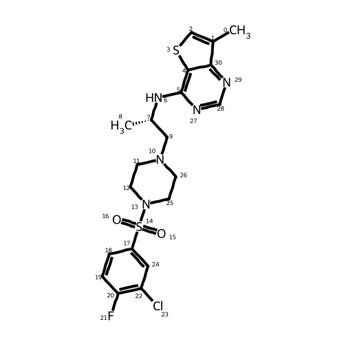 Cc1csc2c(N[C@@H](C)CN3CCN(S(=O)(=O)c4ccc(F)c(Cl)c4)CC3)ncnc12